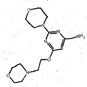 Nc1cc(OCCN2CCOCC2)nc(N2CCOCC2)n1